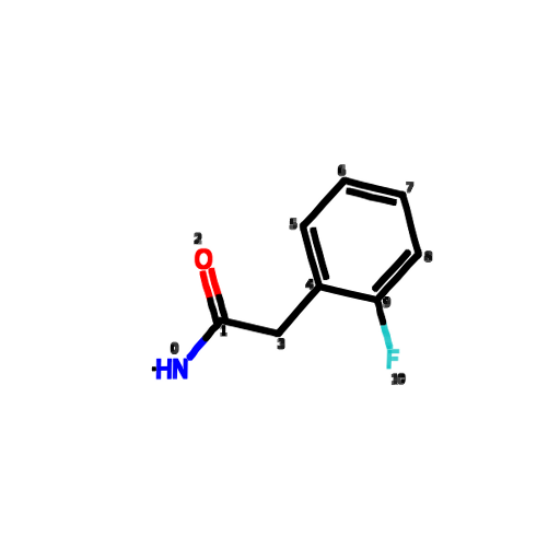 [NH]C(=O)Cc1ccccc1F